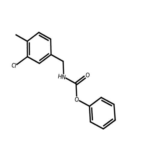 Cc1ccc(CNC(=O)Oc2ccccc2)cc1Cl